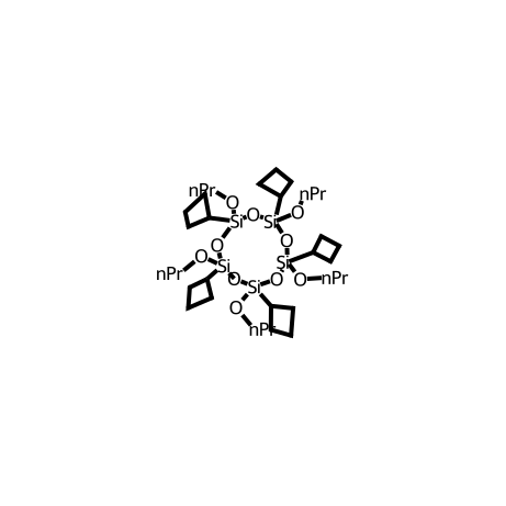 CCCO[Si]1(C2CCC2)O[Si](OCCC)(C2CCC2)O[Si](OCCC)(C2CCC2)O[Si](OCCC)(C2CCC2)O[Si](OCCC)(C2CCC2)O1